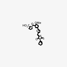 COc1ccc(-c2ccc(C=C3SC(=S)N(C4CC5CCC4C5)C3=O)o2)cc1C(=O)N1CCC[C@H]1C(=O)O